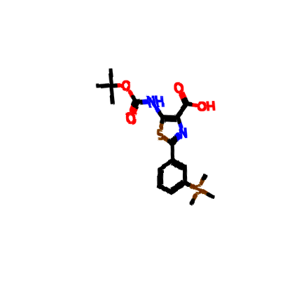 CC(C)(C)OC(=O)Nc1sc(-c2cccc(S(C)(C)C)c2)nc1C(=O)O